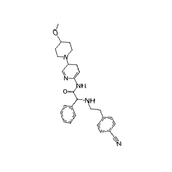 COC1CCN(C2C=NC(NC(=O)C(NCCc3ccc(C#N)cc3)c3ccccc3)=CC2)CC1